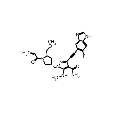 C=CC(=O)N1C[C@@H](Cn2nc(C#Cc3cc4nc[nH]c4cc3F)c(C(N)=O)c2NC)C[C@@H]1COC